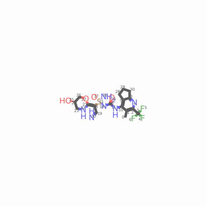 Cc1c(C(F)(F)F)nc2c(c1NC(=O)N=S(N)(=O)/C(C=N)=C1/NC[C@@H](O)CO1)CCC2